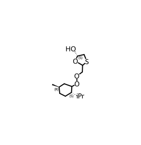 CC(C)[C@@H]1CC[C@@H](C)CC1OOCC1O[C@H](O)CS1